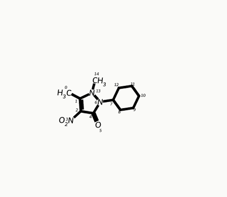 Cc1c([N+](=O)[O-])c(=O)n(C2CCCCC2)n1C